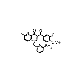 Bc1cccc(Cn2cc(C(=O)c3ccc(OC)c(F)c3)c(=O)c3nc(C)ccc32)n1